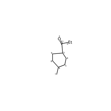 CCC(=O)C1CCC(C)CC1